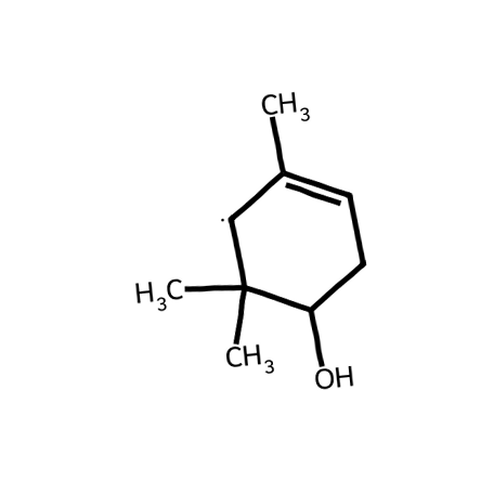 CC1=CCC(O)C(C)(C)[CH]1